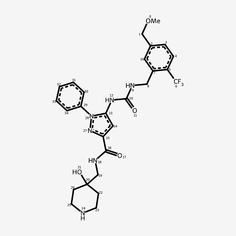 COCc1ccc(C(F)(F)F)c(CNC(=O)Nc2cc(C(=O)NCC3(O)CCNCC3)nn2-c2ccccc2)c1